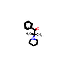 CC(C)(C(=O)c1ccccc1)N1CCCCC1